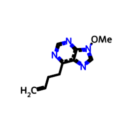 C=CCCc1ncnc2c1ncn2OC